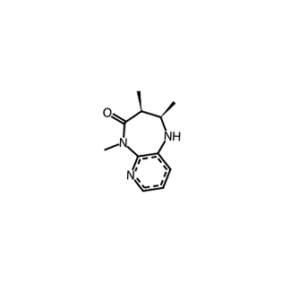 C[C@@H]1C(=O)N(C)c2ncccc2N[C@@H]1C